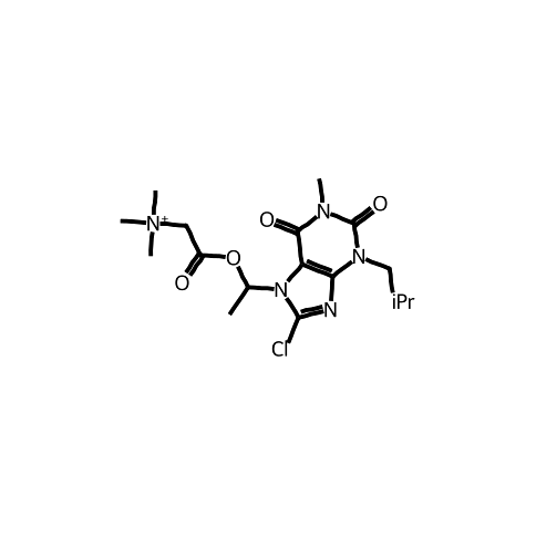 CC(C)Cn1c(=O)n(C)c(=O)c2c1nc(Cl)n2C(C)OC(=O)C[N+](C)(C)C